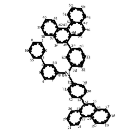 c1ccc(-c2cccc(N(c3ccc(-c4cc5ccccc5c5ccccc45)cc3)c3cccc(-c4cc5ccccc5c5c4ccc4ccccc45)c3)c2)cc1